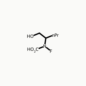 CCCC(CO)N(F)C(=O)O